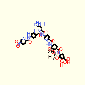 COc1c(NC(=O)c2ccc(NC(=O)c3ccc(NC(=O)[C@H](Cc4cnn[nH]4)NC(=O)c4ccc(NC(=O)c5ccc([N+](=O)[O-])cn5)cc4)cn3)c(OC)c2O)ccc(C(=O)O)c1O